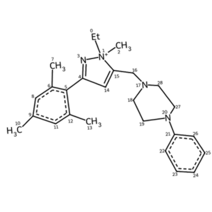 CC[N+]1(C)N=C(c2c(C)cc(C)cc2C)C=C1CN1CCN(c2ccccc2)CC1